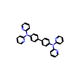 c1ccc(N(c2ccc(-c3ccc(N(c4ccccn4)c4ccccn4)cc3)cc2)c2ccccn2)nc1